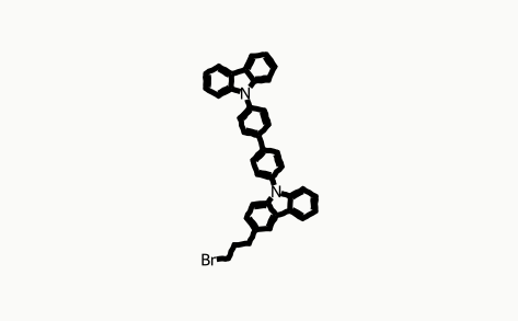 BrCCCc1ccc2c(c1)c1ccccc1n2-c1ccc(-c2ccc(-n3c4ccccc4c4ccccc43)cc2)cc1